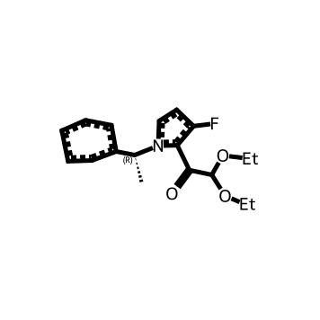 CCOC(OCC)C(=O)c1c(F)ccn1[C@H](C)c1ccccc1